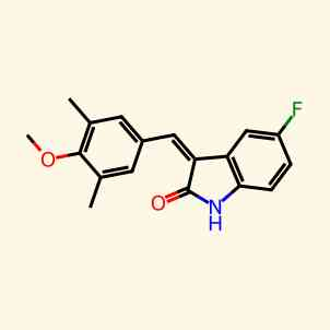 COc1c(C)cc(C=C2C(=O)Nc3ccc(F)cc32)cc1C